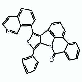 O=c1c2ccccc2c2cccc3c4c(-c5cccc6ccncc56)sc(-c5ccccc5)c4n1c23